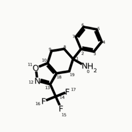 NC1(c2ccccc2)CCc2onc(C(F)(F)F)c2C1